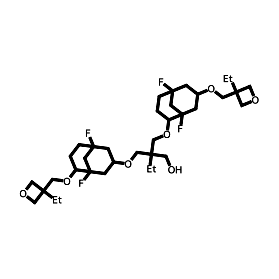 CCC1(COC2CC3(F)CCC(OCC(CC)(CO)COC4CC5(F)CCC(OCC6(CC)COC6)C(F)(C4)C5)C(F)(C2)C3)COC1